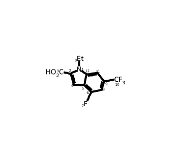 CCn1c(C(=O)O)cc2c(F)cc(C(F)(F)F)cc21